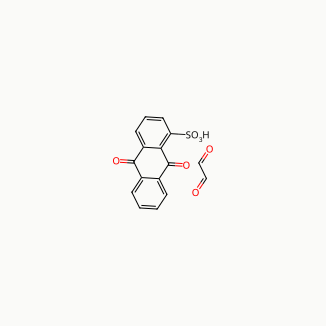 O=C1c2ccccc2C(=O)c2c1cccc2S(=O)(=O)O.O=CC=O